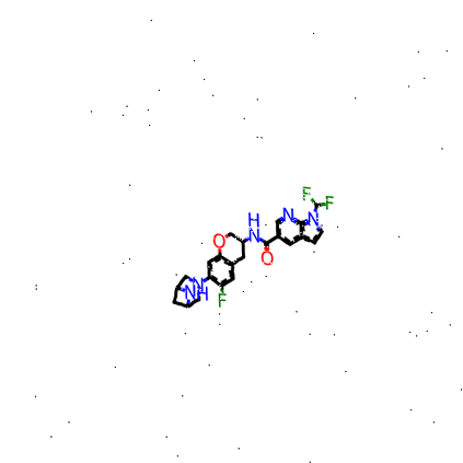 O=C(NC1COc2cc(N3CC4CC(C3)N4)c(F)cc2C1)c1cnc2c(ccn2C(F)F)c1